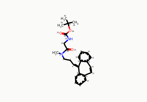 CN(CCC=C1c2ccccc2C=Cc2ccccc21)C(=O)CNC(=O)OC(C)(C)C